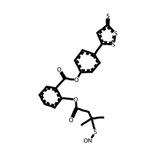 CC(C)(CC(=O)Oc1ccccc1C(=O)Oc1ccc(-c2cc(=S)ss2)cc1)SN=O